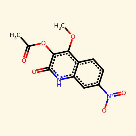 COc1c(OC(C)=O)c(=O)[nH]c2cc([N+](=O)[O-])ccc12